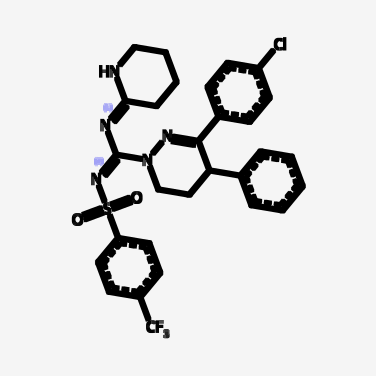 O=S(=O)(/N=C(/N=C1\CCCCN1)N1CCC(c2ccccc2)C(c2ccc(Cl)cc2)=N1)c1ccc(C(F)(F)F)cc1